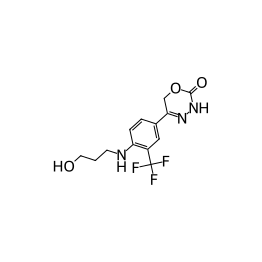 O=C1NN=C(c2ccc(NCCCO)c(C(F)(F)F)c2)CO1